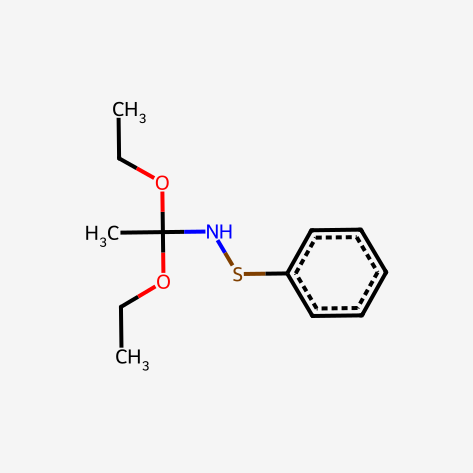 CCOC(C)(NSc1ccccc1)OCC